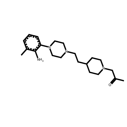 CC(=O)CN1CCC(CCN2CCN(c3cccc(C)c3N)CC2)CC1